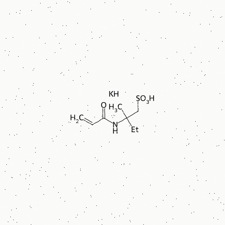 C=CC(=O)NC(C)(CC)CS(=O)(=O)O.[KH]